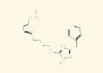 CN(C)Cc1ccc(CCCCNc2nc(Cc3ccccc3)nn2C)o1